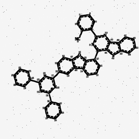 N#Cc1ccccc1-c1nc(-c2cccc3c2oc2ccc(-c4nc(-c5ccccc5)nc(-c5ccccc5)n4)cc23)c2sc3ccccc3c2n1